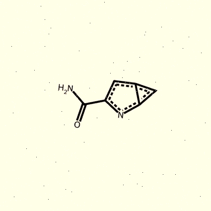 NC(=O)c1cc2cc-2n1